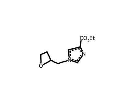 CCOC(=O)c1cn(CC2CCO2)cn1